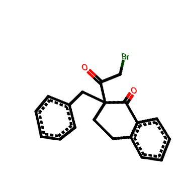 O=C(CBr)C1(Cc2ccccc2)CCc2ccccc2C1=O